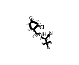 C[C@@H](NCC(C#N)C(C)(C)C)c1ccc(Cl)cc1Cl